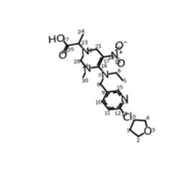 C1CCOC1.CCN(Cc1ccc(Cl)nc1)C1=C([N+](=O)[O-])CN(C(C)C(=O)O)CN1C